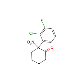 O=C1CCCCC1(c1cccc(F)c1Cl)[N+](=O)[O-]